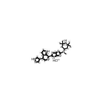 CN(c1nc2sc(-c3ncc(-c4cn[nH]c4)c4cc[nH]c34)nc2s1)C1CC(C)(C)NC(C)(C)C1.Cl